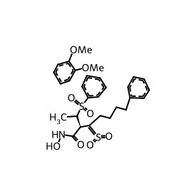 CC([C@H](C(=O)NO)C(CCCCc1ccccc1)=S(=O)=O)S(=O)(=O)c1ccccc1.COc1ccccc1OC